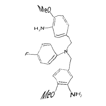 COc1ccc(CN(Cc2ccc(OC)c(N)c2)c2ccc(F)cc2)cc1N